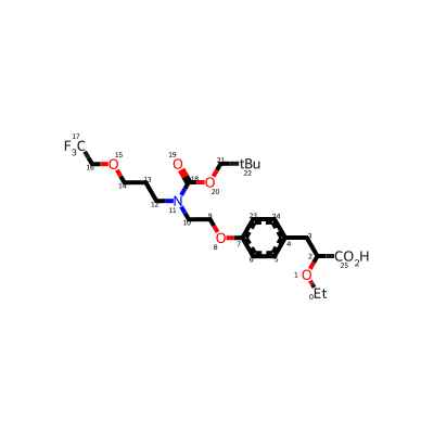 CCOC(Cc1ccc(OCCN(CCCOCC(F)(F)F)C(=O)OCC(C)(C)C)cc1)C(=O)O